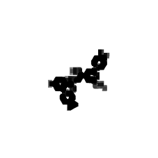 Cc1cc(C(O)CNC(=O)c2ccc(I)cc2N2CCC3(CC2)CC3)cc(N2CCC(F)(F)CC2)n1